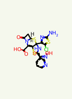 Nc1nc(C2(NC(=O)/C=N\O)S[C@@H]3CC(=O)N3C(C(=O)O)=C2SCc2cccnc2)c(Cl)s1